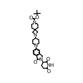 CC(C)(C)OC(=O)N1CCC2(CC1)CN(C1CCN(c3ccc4c(c3)CN(C3CCC(=O)NC3=O)C4=O)CC1)C2